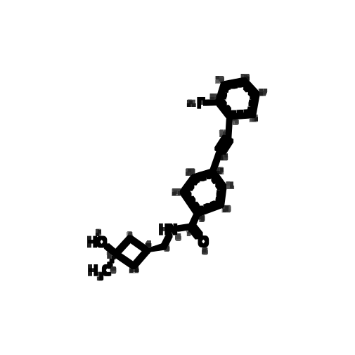 C[C@]1(O)C[C@@H](CNC(=O)c2ccc(C#Cc3ccccc3F)cc2)C1